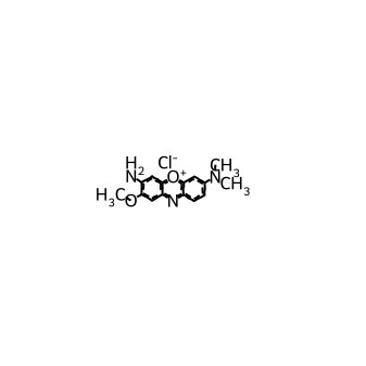 COc1cc2nc3ccc(N(C)C)cc3[o+]c2cc1N.[Cl-]